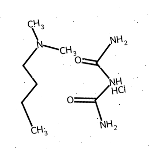 CCCCN(C)C.Cl.NC(=O)NC(N)=O